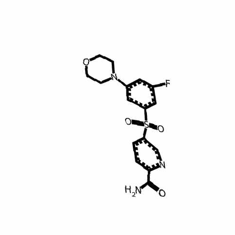 NC(=O)c1ccc(S(=O)(=O)c2cc(F)cc(N3CCOCC3)c2)cn1